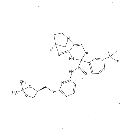 CC1(C)OC[C@H](COc2cccc(NC(=O)C3(c4cccc(C(F)(F)F)c4)NC=C4C(=N[C@H]5CCN4C5)N3)n2)O1